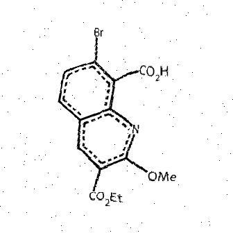 CCOC(=O)c1cc2ccc(Br)c(C(=O)O)c2nc1OC